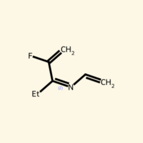 C=C/N=C(/CC)C(=C)F